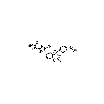 COc1ccc(-c2sc(NC(=O)C(C)(C)C)nc2C)cc1[S+]([O-])Nc1ccc(OC(C)C)cc1